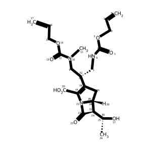 C=CCOC(=O)NC[C@@H](CN(C)C(=O)OCC=C)C1=C(C(=O)O)N2C(=O)[C@H]([C@@H](C)O)[C@H]2C1